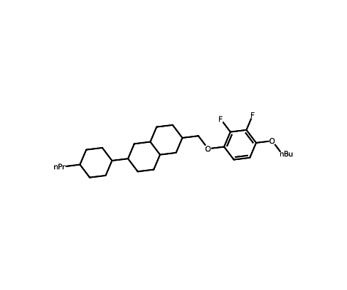 CCCCOc1ccc(OCC2CCC3CC(C4CCC(CCC)CC4)CCC3C2)c(F)c1F